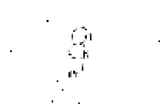 CC(C)Cc1ccc2c(n1)OCCC2